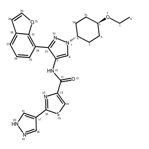 CCO[C@H]1CC[C@H](n2cc(NC(=O)c3csc(-c4cn[nH]c4)n3)c(-c3cccc4ccoc34)n2)CC1